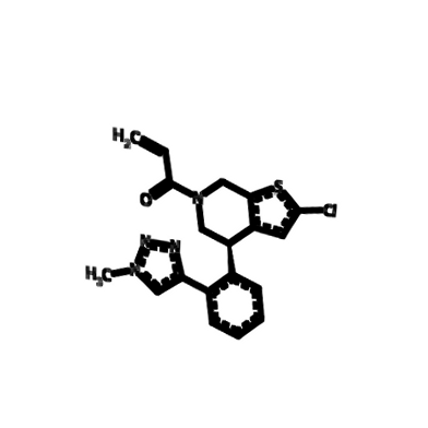 C=CC(=O)N1Cc2sc(Cl)cc2[C@@H](c2ccccc2-c2cn(C)nn2)C1